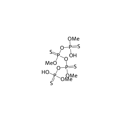 COP(O)(=S)OP(=S)(OC)OP(=S)(OC)OP(O)(=S)OC